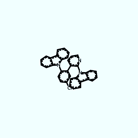 N#Cc1ccc(-n2c3ccccc3c3ccccc32)c(-c2cccnc2-n2c3ccccc3c3ccccc32)c1